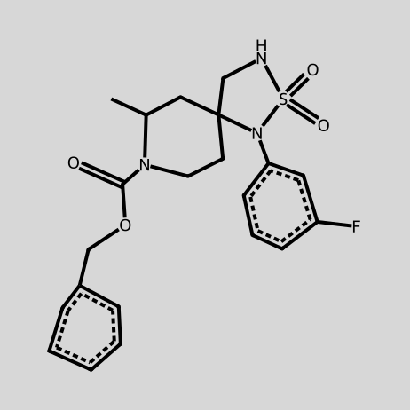 CC1CC2(CCN1C(=O)OCc1ccccc1)CNS(=O)(=O)N2c1cccc(F)c1